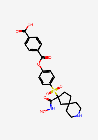 O=C(O)c1ccc(C(=O)Oc2ccc(S(=O)(=O)C3(C(=O)NO)CCC4(CCNCC4)C3)cc2)cc1